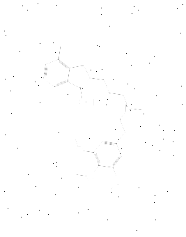 COc1cc(CCN(C)CCCC2Cc3c(C)cccc3C2O)cc(OC)c1OC